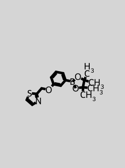 CC1(C)OB(c2cccc(OCc3nccs3)c2)OC1(C)C